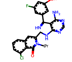 CC(C)n1c(CNc2ncnc(N)c2C(=N)c2cc(O)cc(F)c2)cc2cccc(Cl)c2c1=O